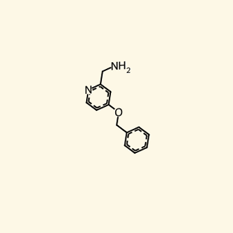 NCc1cc(OCc2ccccc2)ccn1